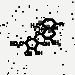 CC1=CC(OC2OC(C(=O)O)C(O)C(O)C2O)[C@H]2[C@@H](C)CCC(C(C)C)[C@@H]2C1